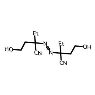 CCC(C#N)(CCO)N=NC(C#N)(CC)CCO